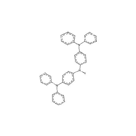 IN(c1ccc(N(c2ccccc2)c2ccccc2)cc1)c1ccc(N(c2ccccc2)c2ccccc2)cc1